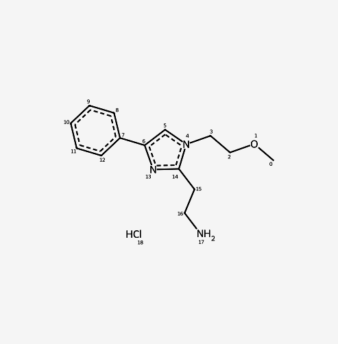 COCCn1cc(-c2ccccc2)nc1CCN.Cl